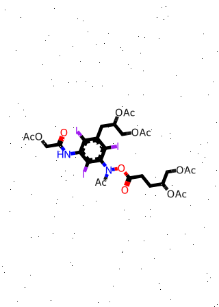 CC(=O)OCC(=O)Nc1c(I)c(CC(COC(C)=O)OC(C)=O)c(I)c(N(OC(=O)CCC(COC(C)=O)OC(C)=O)C(C)=O)c1I